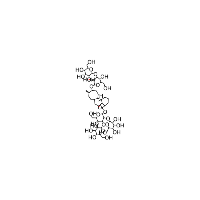 C=C1CCC2CCC3[C@](C)(C(=O)OC4OC(CO)C(O)C(OC5OC(CO)C(O)C(O)C5O)C4OC4OC(CO)C(O)C(O)C4O)CCC[C@@]3(C)[C@@H]2CCC1OC1OC(CO)C(O)C(OC2OC(CO)C(O)C(O)C2O)C1O